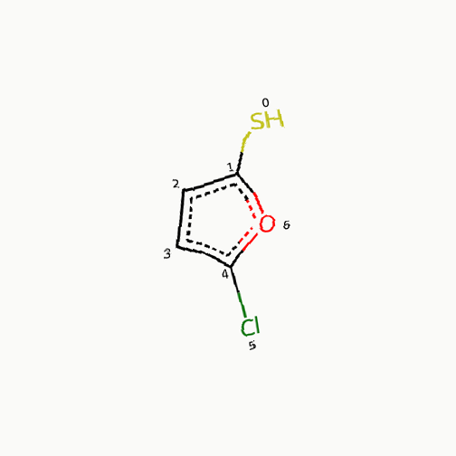 Sc1ccc(Cl)o1